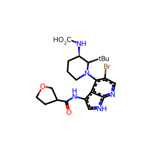 CC(C)(C)C1[C@H](NC(=O)O)CCCN1c1c(Br)cnc2[nH]cc(NC(=O)C3CCOC3)c12